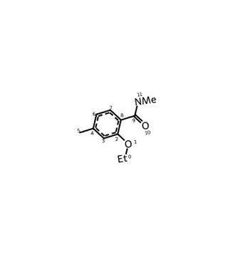 CCOc1cc(C)ccc1C(=O)NC